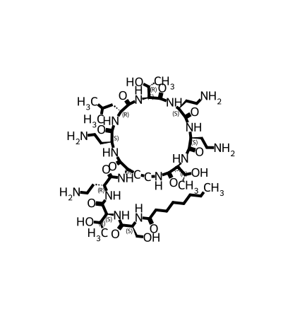 CCCCCCCC(=O)N[C@@H](CO)C(=O)N[C@H](C(=O)N[C@H](CCN)C(=O)N[C@H]1CCNC(=O)[C@H]([C@@H](C)O)NC(=O)[C@H](CCN)NC(=O)[C@H](CCN)NC(=O)[C@H]([C@@H](C)O)NC(=O)[C@@H](CC(C)C)NC(=O)[C@H](CCN)NC1=O)[C@@H](C)O